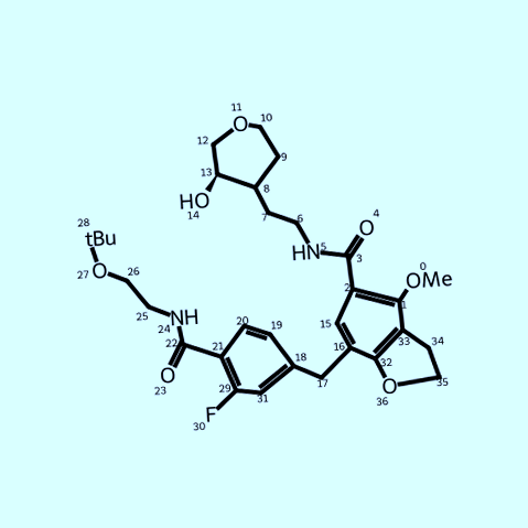 COc1c(C(=O)NCCC2CCOC[C@@H]2O)cc(Cc2ccc(C(=O)NCCOC(C)(C)C)c(F)c2)c2c1CCO2